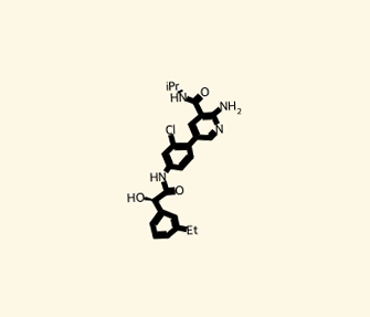 CCc1cccc([C@@H](O)C(=O)Nc2ccc(-c3cnc(N)c(C(=O)NC(C)C)c3)c(Cl)c2)c1